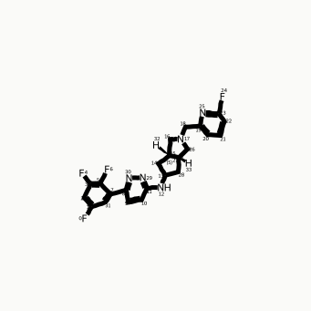 Fc1cc(F)c(F)c(-c2ccc(NC3C[C@@H]4CN(Cc5cccc(F)n5)C[C@@H]4C3)nn2)c1